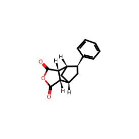 O=C1OC(=O)[C@H]2[C@@H]3C[C@H]([C@@H]12)[C@@H](c1ccccc1)C3